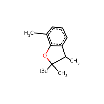 Cc1cccc2c1OC(C)(C(C)(C)C)C2C